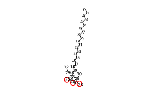 CCCCCCCCCCCCCCCCCCCCC(CC)C1C(=O)OC(=O)C1C